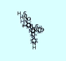 CCNC(=O)Nc1ccc(-c2nc3c(c(N4CCOC[C@@H]4C)n2)CN(C2CCNCC2)C3)cc1F